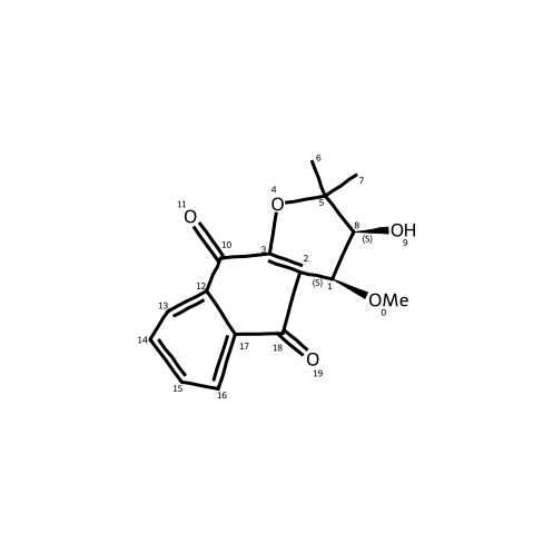 CO[C@H]1C2=C(OC(C)(C)[C@H]1O)C(=O)c1ccccc1C2=O